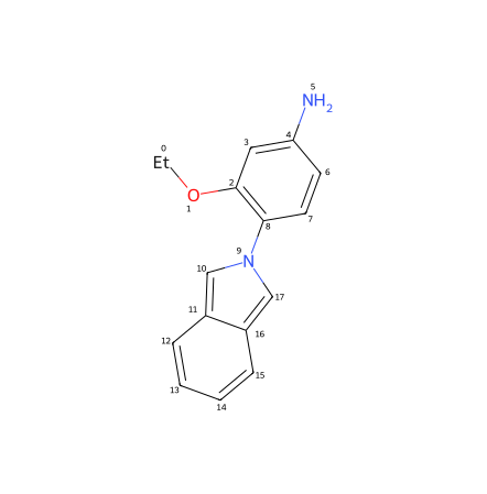 CCOc1cc(N)ccc1-n1cc2ccccc2c1